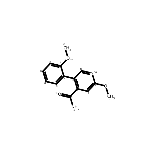 COc1cc(C(N)=O)c(-c2ccccc2OC)cn1